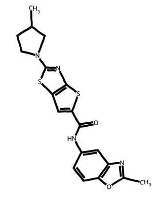 Cc1nc2cc(NC(=O)c3cc4sc(N5CCC(C)C5)nc4s3)ccc2o1